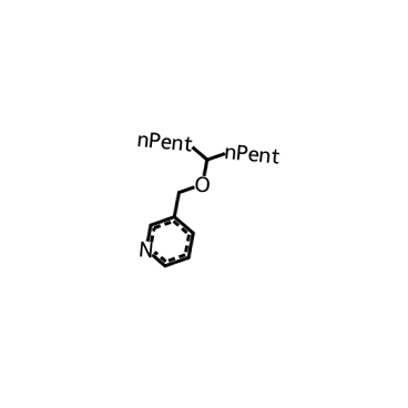 CCCCCC(CCCCC)OCc1cccnc1